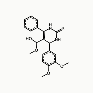 COc1ccc(C2NC(=S)NC(c3ccccc3)=C2C(O)OC)cc1OC